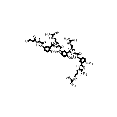 CNC(=O)[C@@H](CCCNC(=N)N)NC(=O)c1cc(NC(=O)[C@@H](CCCNC(=N)N)NC(=O)c2cc(NC(=O)[C@@H](CCCNC(=N)N)NC(=O)c3cc(NC(=O)[C@@H](C)NC(=O)CCN)ccc3OC)ccc2OC)ccc1OC